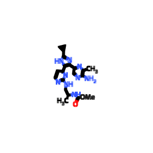 COC(=O)N[C@@H](C)CNc1nccc(-c2[nH]c(C3CC3)nc2-c2cnc(N)c(C)n2)n1